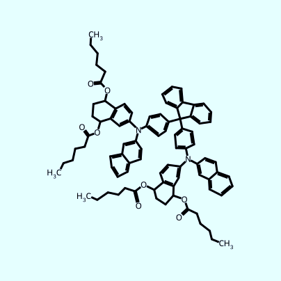 CCCCCC(=O)OC1CCC(OC(=O)CCCCC)c2cc(N(c3ccc(C4(c5ccc(N(c6ccc7c(c6)C(OC(=O)CCCCC)CCC7OC(=O)CCCCC)c6ccc7ccccc7c6)cc5)c5ccccc5-c5ccccc54)cc3)c3ccc4ccccc4c3)ccc21